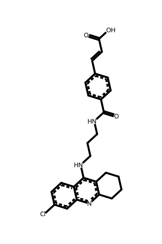 O=C(O)C=Cc1ccc(C(=O)NCCCNc2c3c(nc4cc(Cl)ccc24)CCCC3)cc1